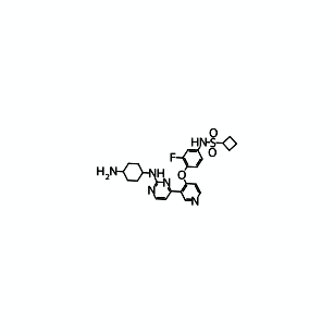 NC1CCC(Nc2nccc(-c3cnccc3Oc3ccc(NS(=O)(=O)C4CCC4)cc3F)n2)CC1